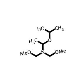 COCN(COC)C(C)OC(C)O